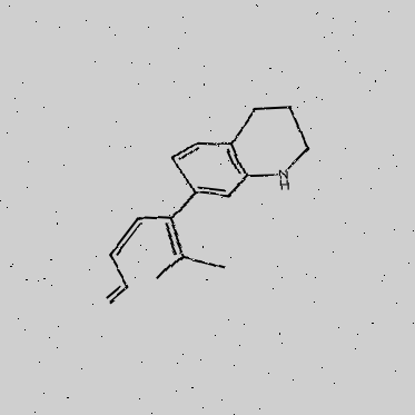 C=C/C=C\C(=C(C)C)c1ccc2c(c1)NCCC2